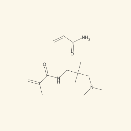 C=C(C)C(=O)NCC(C)(C)CN(C)C.C=CC(N)=O